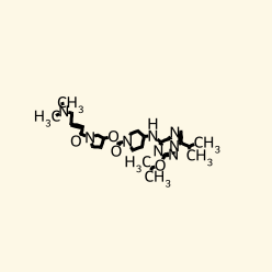 CC(C)Oc1nc(NC2CCN(C(=O)OC3CCN(C(=O)/C=C/CN(C)C)C3)CC2)c2ncc(C(C)C)n2n1